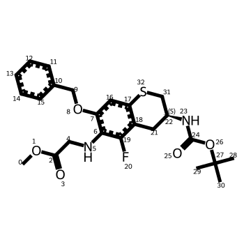 COC(=O)CNc1c(OCc2ccccc2)cc2c(c1F)C[C@H](NC(=O)OC(C)(C)C)CS2